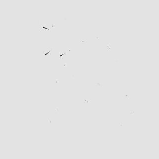 OC[C@@H]1[C@H]2CC3CCC4C=CC=CC4n4c3c(c3ccccc34)CCNC[C@@H]2CC[C@@H]1O